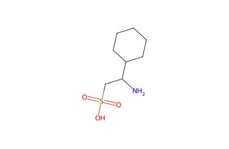 NC(CS(=O)(=O)O)C1CCCCC1